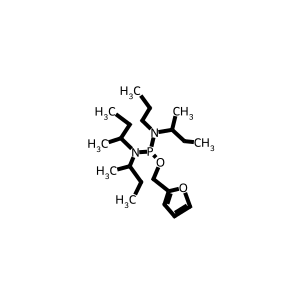 CCCN(C(C)CC)P(OCc1ccco1)N(C(C)CC)C(C)CC